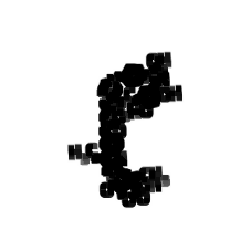 CCc1c2c(nc3ccc(CN(CCCN4CCN(Cc5ccc(-n6c(O)nnc6-c6cc(C(C)C)c(O)cc6O)cc5)CC4)C(=O)O)cc13)-c1cc3c(c(=O)n1C2)COC(=O)[C@]3(O)CC